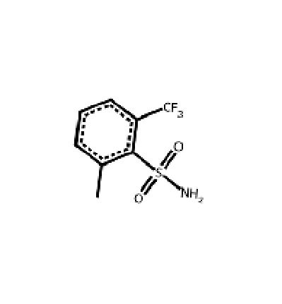 Cc1cccc(C(F)(F)F)c1S(N)(=O)=O